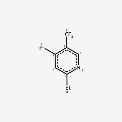 CCc1cc(C(C)C)c(C(F)(F)F)cn1